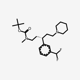 CN(CC[C@H](CCN1CCCCC1)c1cccc(C(F)F)c1)C(=O)OC(C)(C)C